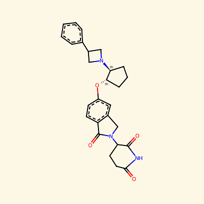 O=C1CCC(N2Cc3cc(O[C@H]4CCC[C@@H]4N4CC(c5ccccc5)C4)ccc3C2=O)C(=O)N1